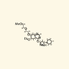 CCOc1cc2c(Oc3cc(-c4ccccc4)[nH]n3)ncnc2cc1OCCOCCOC